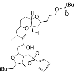 C=C([C@H](C)CC1CC[C@@H]2O[C@@H](CCCOC(=O)C(C)(C)C)C[C@]2(CI)O1)[C@H](O)CC1OC(C[C@H](C)CC)[C@H](C)[C@H]1CS(=O)(=O)c1ccccc1